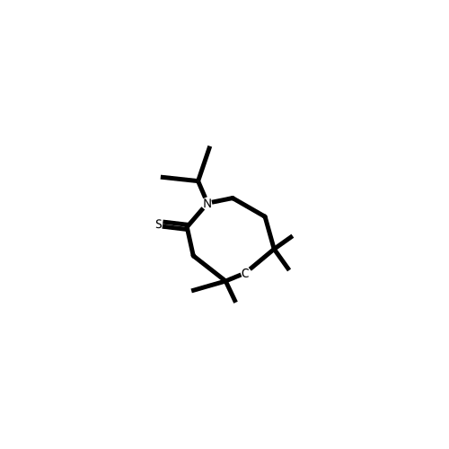 CC(C)N1CCC(C)(C)CC(C)(C)CC1=S